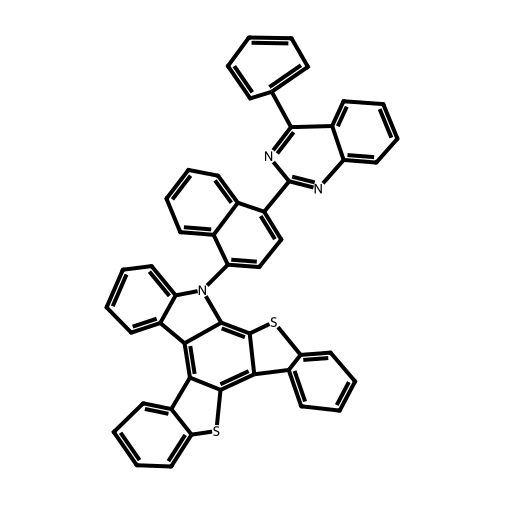 c1ccc(-c2nc(-c3ccc(-n4c5ccccc5c5c6c7ccccc7sc6c6c7ccccc7sc6c54)c4ccccc34)nc3ccccc23)cc1